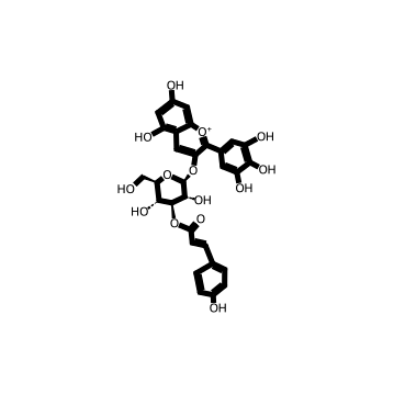 O=C(/C=C/c1ccc(O)cc1)O[C@@H]1[C@@H](O)[C@H](Oc2cc3c(O)cc(O)cc3[o+]c2-c2cc(O)c(O)c(O)c2)O[C@H](CO)[C@H]1O